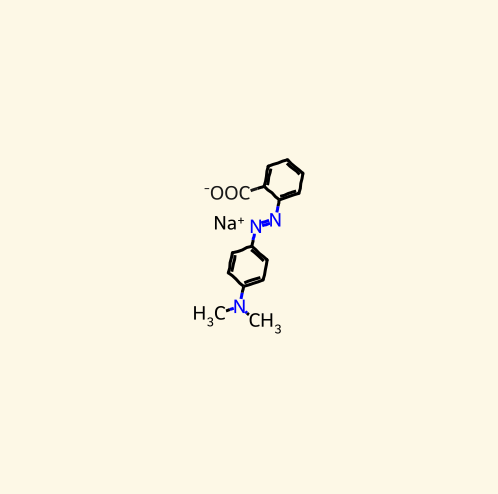 CN(C)c1ccc(N=Nc2ccccc2C(=O)[O-])cc1.[Na+]